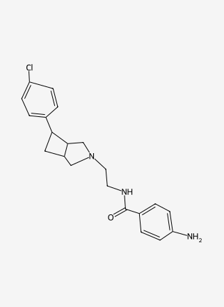 Nc1ccc(C(=O)NCCN2CC3CC(c4ccc(Cl)cc4)C3C2)cc1